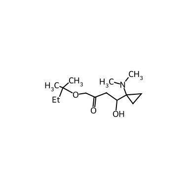 CCC(C)(C)OCC(=O)CC(O)C1(N(C)C)CC1